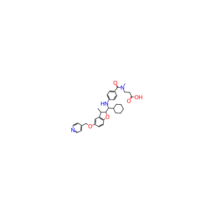 CC1c2cc(OCc3ccncc3)ccc2OC1C(Nc1ccc(C(=O)N(C)CCC(=O)O)cc1)C1CCCCC1